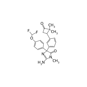 CN1C(=O)C(c2ccc(OC(F)F)cc2)(c2cccc(C3CC(=O)C3(C)C)c2)N=C1N